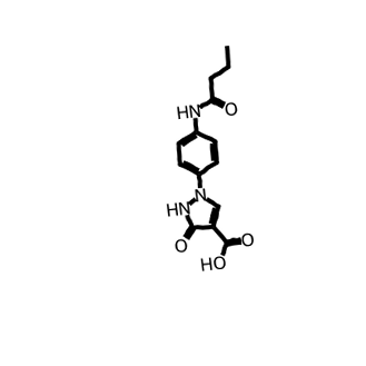 CCCC(=O)Nc1ccc(-n2cc(C(=O)O)c(=O)[nH]2)cc1